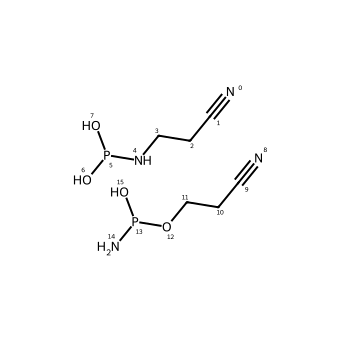 N#CCCNP(O)O.N#CCCOP(N)O